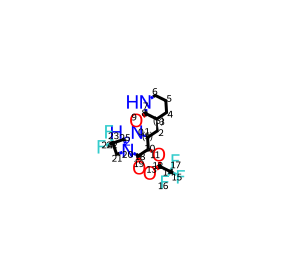 N[C@@H](C[C@@H]1CCCNC1=O)C(OC(=O)C(F)(F)F)C(=O)N1CC(F)(F)C1